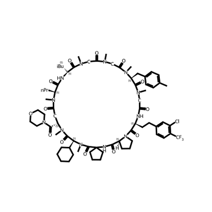 CCC[C@H]1C(=O)N[C@@H]([C@@H](C)CC)C(=O)N(C)CC(=O)N(C)CC(=O)N(C)[C@@H](Cc2ccc(C)cc2)C(=O)N(C)CC(=O)N[C@@H](CCc2ccc(C(F)(F)F)c(Cl)c2)C(=O)N2CCC[C@H]2C(=O)NC2(CCCC2)C(=O)N(C)[C@@H](C2CCCCC2)C(=O)N(C)[C@H](C(=O)N2CCOCC2)CC(=O)N1C